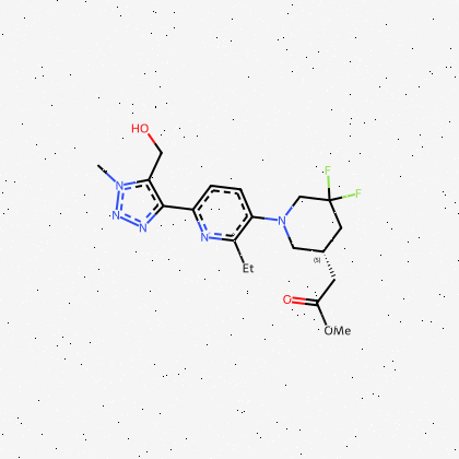 CCc1nc(-c2nnn(C)c2CO)ccc1N1C[C@@H](CC(=O)OC)CC(F)(F)C1